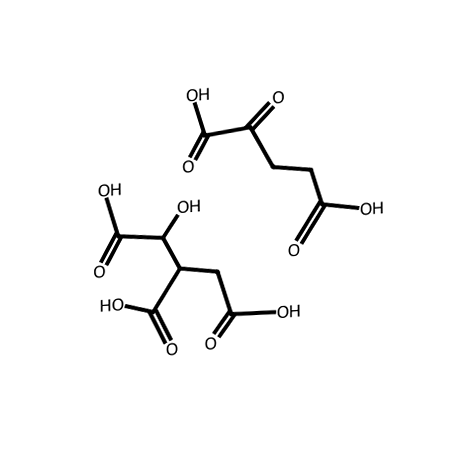 O=C(O)CC(C(=O)O)C(O)C(=O)O.O=C(O)CCC(=O)C(=O)O